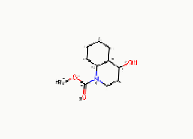 CC(C)(C)OC(=O)N1CCC(O)C2CCCCC21